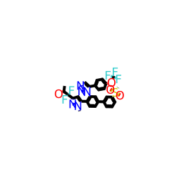 CC(=O)C(F)(F)c1cc(-c2ccc(-c3cccc(S(C)(=O)=O)c3)cc2-n2nncc2-c2ccc(OC(F)(F)F)cc2)n(C)n1